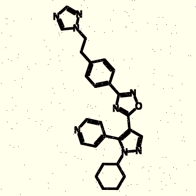 c1cc(-c2c(-c3nc(-c4ccc(CCn5cncn5)cc4)no3)cnn2C2CCCCC2)ccn1